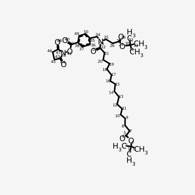 CC(C)(C)OC(=O)CCCCCCCCCCCCCCCC(=O)N(CCC(=O)OC(C)(C)C)Cc1ccc(C(=O)ON2C(=O)CCC2=O)cc1